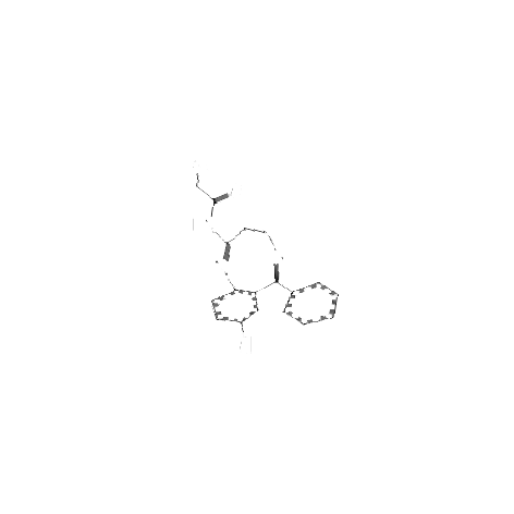 CC(=O)CC(=O)NC1=Nc2ccc(Cl)cc2C(c2ccccc2)=NCC1